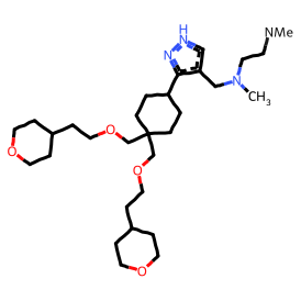 CNCCN(C)Cc1c[nH]nc1C1CCC(COCCC2CCOCC2)(COCCC2CCOCC2)CC1